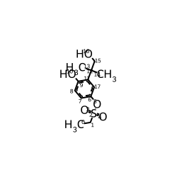 CCS(=O)(=O)Oc1ccc(O)c(C(C)(C)CO)c1